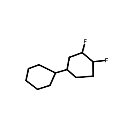 FC1CCC(C2CCCCC2)CC1F